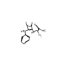 CC(Nc1c(Nc2ccncc2)c(=O)c1=O)C(N)=O